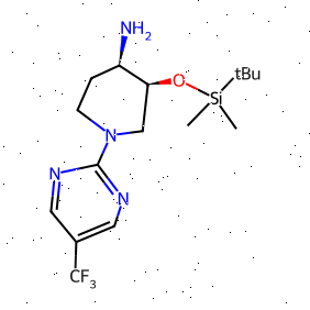 CC(C)(C)[Si](C)(C)O[C@H]1CN(c2ncc(C(F)(F)F)cn2)CC[C@H]1N